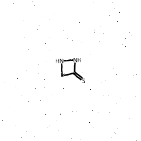 S=C1CNN1